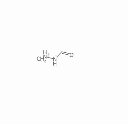 C.NNC=O